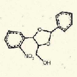 O=[N+]([O-])c1ccccc1C1OC(c2ccccc2)OC1CO